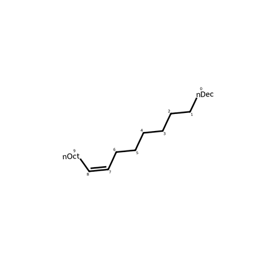 CCCCCCCC[CH]CCCCCCC/C=C\CCCCCCCC